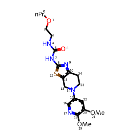 CCCOCCNC(=O)Nc1nc2c(s1)CN(c1cnc(OC)c(OC)c1)CC2